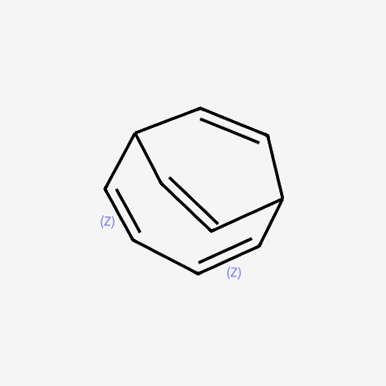 C1=CC2C=CC1/C=C\C=C/2